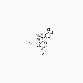 [2H]C([2H])([2H])N(C(=O)[C@@H]1C[C@H](C#N)CN1C(=O)OC(C)(C)C)c1ccc(F)c(Cl)c1